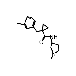 Cc1cccc(CC2(C(=O)NC3CCN(C)C3)CC2)c1